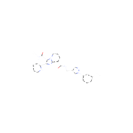 CCNC(=O)c1c(-c2ccccn2)nc2c(C(=O)NCc3cnn(-c4cccc(C)c4)c3)cccn12